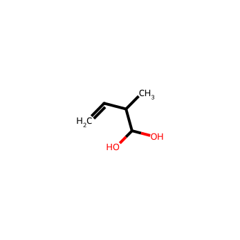 C=CC(C)C(O)O